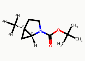 [2H]C([2H])([2H])[C@]12CCN(C(=O)OC(C)(C)C)[C@@H]1C2